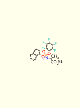 CCOC(=O)C(C)NP(=O)(Oc1c(F)c(F)c(F)c(F)c1F)Oc1cccc2ccccc12